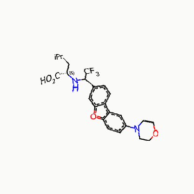 CC(C)C[C@H](NC(c1ccc2c(c1)oc1ccc(N3CCOCC3)cc12)C(F)(F)F)C(=O)O